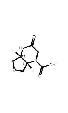 O=C1CN(C(=O)O)[C@@H]2COC[C@@H]2N1